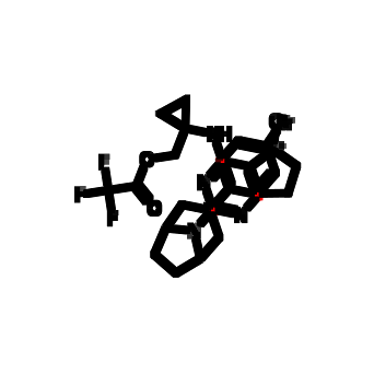 O=C(OCC1(Nc2nc(N3C4CCC3CN(c3ccc(Br)cc3)C4)nc3c2[S+]([O-])CC3)CC1)C(F)(F)F